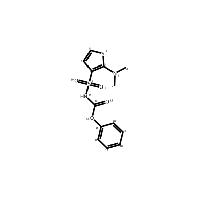 CN(C)c1sccc1S(=O)(=O)NC(=O)Oc1ccccc1